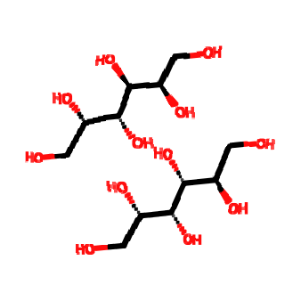 OC[C@@H](O)[C@@H](O)[C@H](O)[C@@H](O)CO.OC[C@@H](O)[C@H](O)[C@H](O)[C@@H](O)CO